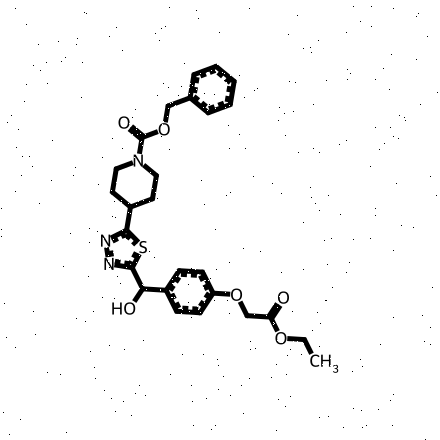 CCOC(=O)COc1ccc(C(O)c2nnc(C3CCN(C(=O)OCc4ccccc4)CC3)s2)cc1